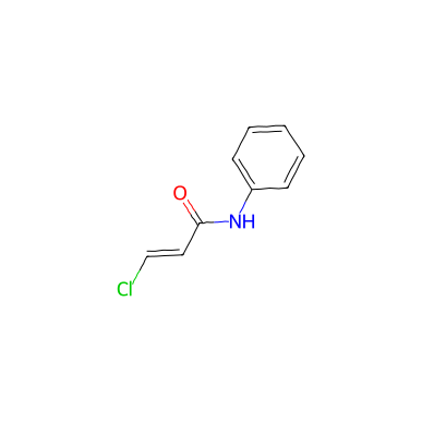 O=C(C=CCl)Nc1ccccc1